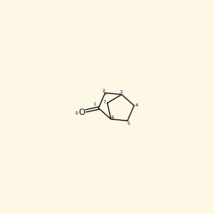 O=C1[C]C2CCC1C2